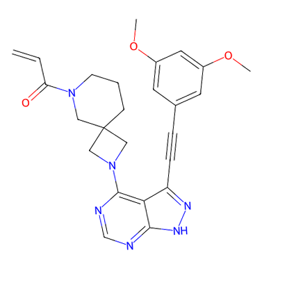 C=CC(=O)N1CCCC2(C1)CN(c1ncnc3[nH]nc(C#Cc4cc(OC)cc(OC)c4)c13)C2